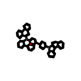 c1ccc(-c2ccccc2N(c2ccc(-c3ccc(-n4c5ccccc5c5c6ccccc6ccc54)cc3)cc2)c2cc3ccccc3c3ccccc23)cc1